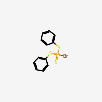 S=P(Br)(Sc1ccccc1)Sc1ccccc1